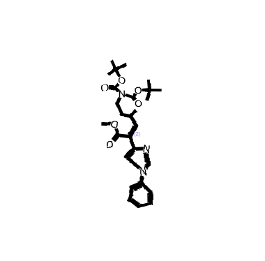 COC(=O)/C(=C\C(C)CCN(C(=O)OC(C)(C)C)C(=O)OC(C)(C)C)c1cn(-c2ccccc2)cn1